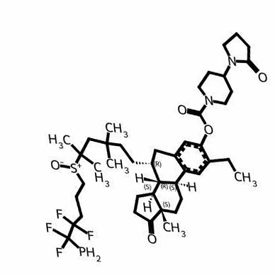 CCc1cc2c(cc1OC(=O)N1CCC(N3CCCC3=O)CC1)C[C@@H](CCC(C)(C)CC(C)(C)[S+]([O-])CCCC(F)(F)C(F)(F)P)[C@@H]1[C@@H]2CC[C@]2(C)C(=O)CC[C@@H]12